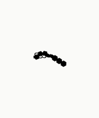 Cc1ccc(-c2ccc(-c3ccc(C(C)(C)CCC(C)(C)c4ccc(-c5ccc(-c6ccccc6)cc5)cc4)s3)s2)s1